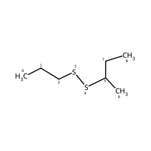 CCCSSC(C)CC